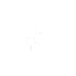 CO[SiH](OC)C1CCC(C)C1C